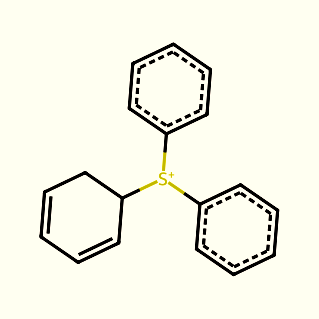 C1=CCC([S+](c2ccccc2)c2ccccc2)C=C1